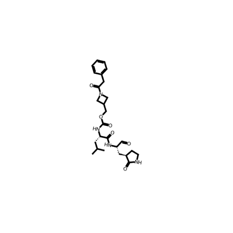 CC(C)C[C@H](NC(=O)OCC1CN(C(=O)Cc2ccccc2)C1)C(=O)N[C@H](C=O)C[C@H]1CCNC1=O